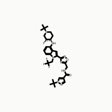 CC(C)(C)N1CC[C@@H](Nc2cccc3c2cc(-c2noc(CNC(=O)c4cnn(C(C)(C)C)c4)n2)n3CC(F)(F)F)[C@@H](F)C1